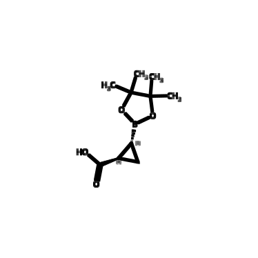 CC1(C)OB([C@@H]2C[C@H]2C(=O)O)OC1(C)C